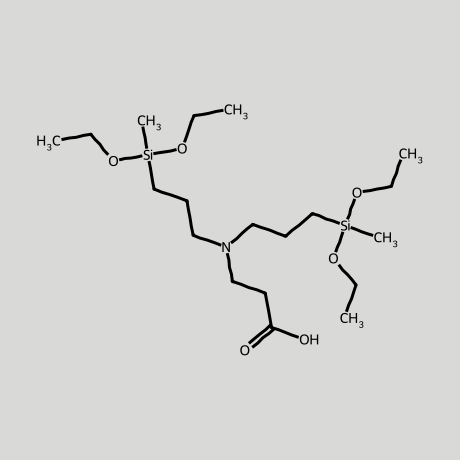 CCO[Si](C)(CCCN(CCC[Si](C)(OCC)OCC)CCC(=O)O)OCC